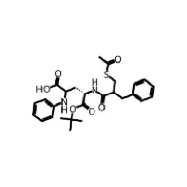 CC(=O)SCC(Cc1ccccc1)C(=O)N[C@@H](CC(Nc1ccccc1)C(=O)O)C(=O)OC(C)(C)C